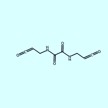 O=C=CCNC(=O)C(=O)NCC=C=O